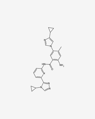 Cc1cc(N)c(C(=O)Nc2cccc(-c3nncn3C3CC3)n2)cc1-n1cnc(C2CC2)c1